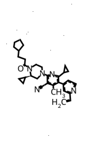 C=Cc1cc(-c2c(C3CC3)nc(N3CCN(C(=O)CCC4CCCC4)[C@H](C4CC4)C3)c(C#N)c2C)ccn1